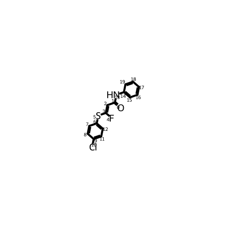 O=C(C=C(F)Sc1ccc(Cl)cc1)Nc1ccccc1